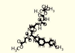 COC(=O)CCS(=O)(=O)C(c1nnc(CNS(=O)(=O)NC(=O)OC(C)(C)C)o1)c1nc2ccc(-c3cnn(C)c3)cc2s1